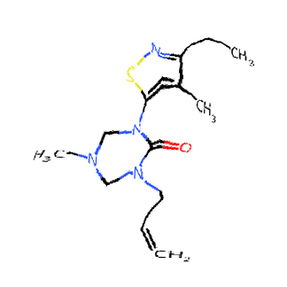 C=CCN1CN(C)CN(c2snc(CC)c2C)C1=O